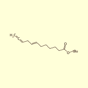 C=C=CCC=CCCCCCC(=O)OC(C)(C)C